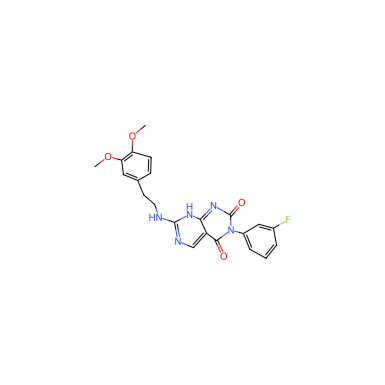 COc1ccc(CCNc2ncc3c(=O)n(-c4cccc(F)c4)c(=O)nc-3[nH]2)cc1OC